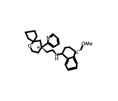 COC[C@H]1CCC(NCC[C@@]2(c3ccccn3)CCOC3(CCCC3)C2)c2ccccc21